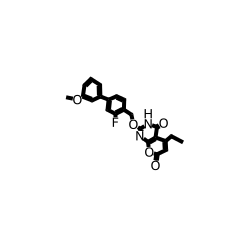 CCc1cc(=O)oc2nc(OCc3ccc(-c4cccc(OC)c4)cc3F)[nH]c(=O)c12